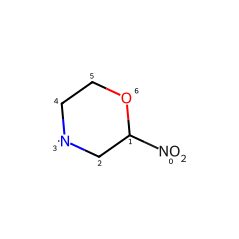 O=[N+]([O-])C1C[N]CCO1